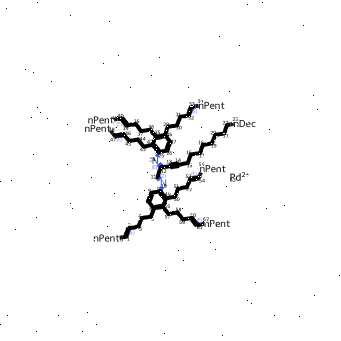 CCCCC/C=C/CCCc1ccc(/N=C/C(C#CCCCCCCCCCCCCCCCCCC)=N/c2ccc(CCC/C=C/CCCCC)c(CCC/C=C/CCCCC)c2CCC/C=C/CCCCC)c(CCC/C=C/CCCCC)c1CCC/C=C/CCCCC.[Pd+2]